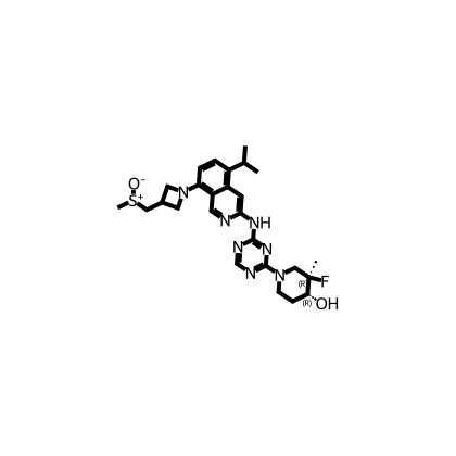 CC(C)c1ccc(N2CC(C[S+](C)[O-])C2)c2cnc(Nc3ncnc(N4CC[C@@H](O)[C@](C)(F)C4)n3)cc12